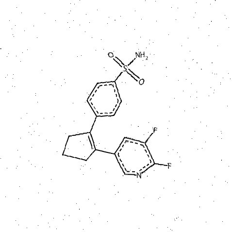 NS(=O)(=O)c1ccc(C2=C(c3cnc(F)c(F)c3)CCC2)cc1